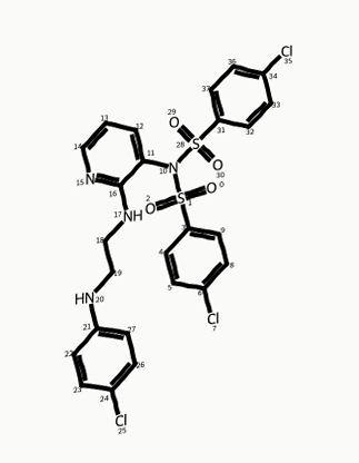 O=S(=O)(c1ccc(Cl)cc1)N(c1cccnc1NCCNc1ccc(Cl)cc1)S(=O)(=O)c1ccc(Cl)cc1